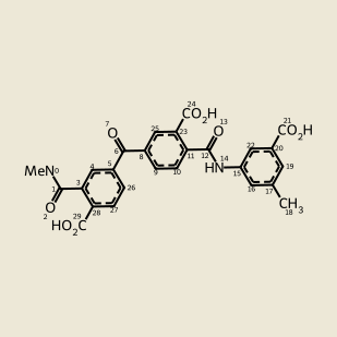 CNC(=O)c1cc(C(=O)c2ccc(C(=O)Nc3cc(C)cc(C(=O)O)c3)c(C(=O)O)c2)ccc1C(=O)O